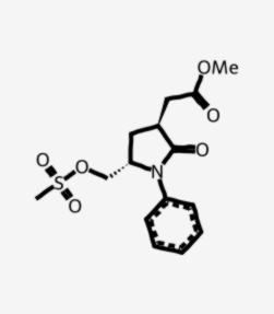 COC(=O)C[C@@H]1C[C@@H](COS(C)(=O)=O)N(c2ccccc2)C1=O